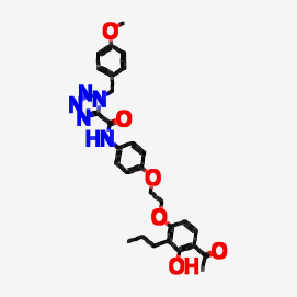 CCCc1c(OCCOc2ccc(NC(=O)c3nnnn3Cc3ccc(OC)cc3)cc2)ccc(C(C)=O)c1O